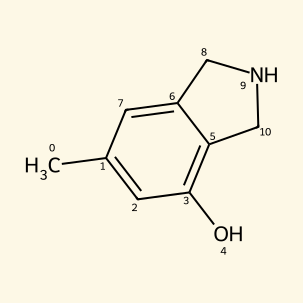 Cc1cc(O)c2c(c1)CNC2